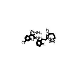 CC(C)C(c1ccc(Cl)cc1)C(N)C(=O)Nc1cccc(F)c1CCC1CNC2CCCS(=O)(=O)N1C2